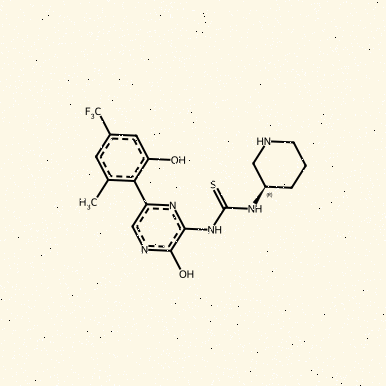 Cc1cc(C(F)(F)F)cc(O)c1-c1cnc(O)c(NC(=S)N[C@@H]2CCCNC2)n1